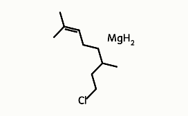 CC(C)=CCCC(C)CCCl.[MgH2]